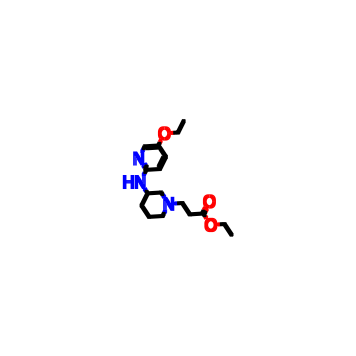 CCOC(=O)CCN1CCCC(Nc2ccc(OCC)cn2)C1